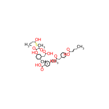 CC(=O)C(=O)O.CCC(O)=S.CCC=CC(=O)O.Cc1ccc(C(=O)O)cc1.Cc1ccccc1CC(=O)O.O=C(O)Cc1ccccc1